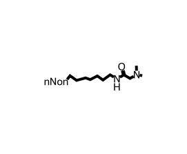 CCCCCCCCCCCCCCCCNC(=O)CN(C)C